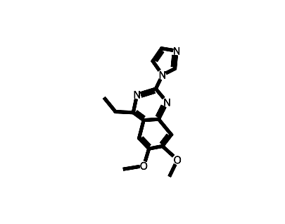 CCc1nc(-n2ccnc2)nc2cc(OC)c(OC)cc12